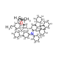 Cc1cc(C)cc(C2(C3=CC[C@H]3OC(C)C)c3ccccc3-c3ccc(N(c4ccccc4)c4ccc5c(c4)C(c4ccccc4)(c4ccccc4)c4ccccc4-5)cc32)c1